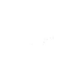 CCOC(=O)CCCO[C]=O